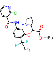 CC(C)(C)OC(=O)C(Oc1cc(NC(=O)c2cccnc2Cl)ccc1C(F)(F)C(F)(F)F)C1CCCN1